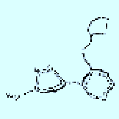 O=C(O)c1cc(-c2ccccc2OC2CCC2)on1